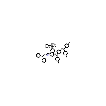 CCN(CC)c1ccc2c(N(c3ccc(C)cc3)c3ccc(C=C(c4ccc(C)cc4)c4ccc(C)cc4)cc3)ccc(/C=C/C=C(c3ccccc3)c3ccccc3)c2c1